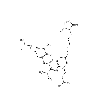 CC(C)C(=O)[C@H](CCCNC(N)=O)NC(=O)[C@@H](NC(=O)[C@H](CCC(=O)O)NC(=O)CCCCCN1C(=O)C=CC1=O)C(C)C